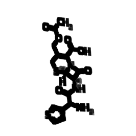 CC(=O)OCC1=C(C(=O)O)N2C(=O)[C@@H](NC(=O)C(N)c3ccsc3)[C@H]2SC1